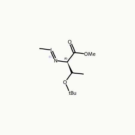 COC(=O)[C@H](/N=I/C)C(C)OC(C)(C)C